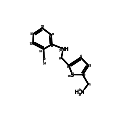 NCc1ccc(CNc2ccccc2F)s1